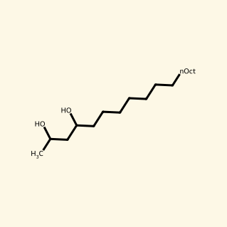 CCCCCCCCCCCCCCCC(O)CC(C)O